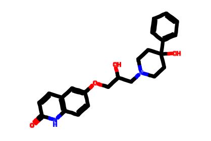 O=c1ccc2cc(OCC(O)CN3CCC(O)(c4ccccc4)CC3)ccc2[nH]1